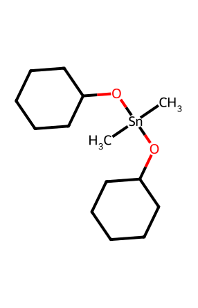 [CH3][Sn]([CH3])([O]C1CCCCC1)[O]C1CCCCC1